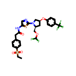 CCS(=O)(=O)c1ccc(CC(=O)Nc2cnc(N3C[C@@H](Oc4ccc(C(F)(F)F)cc4)C[C@H]3COC(F)F)s2)cc1